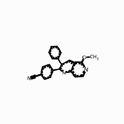 COc1nccc2nc(-c3ccc(C#N)cc3)c(-c3ccccc3)cc12